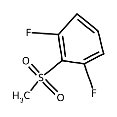 CS(=O)(=O)c1c(F)cccc1F